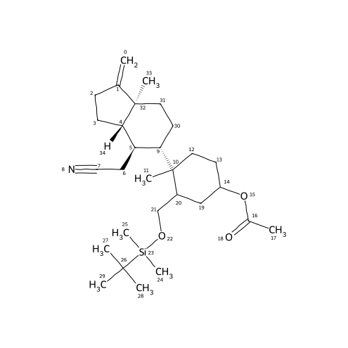 C=C1CC[C@H]2[C@H](CC#N)[C@@H](C3(C)CCC(OC(C)=O)CC3CO[Si](C)(C)C(C)(C)C)CC[C@]12C